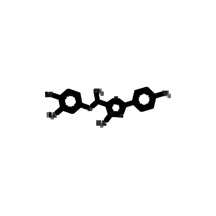 Cc1cc(OC(C)c2sc(-c3ccc(C(F)(F)F)cc3)nc2C)ccc1C#N